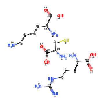 N=C(N)NCCCC(N)C(=O)O.NC(CS)C(=O)O.NCCCCC(N)C(=O)O